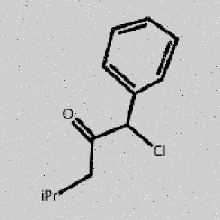 CC(C)CC(=O)C(Cl)c1ccccc1